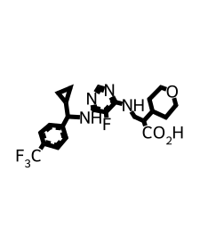 O=C(O)C(CNc1ncnc(NC(c2ccc(C(F)(F)F)cc2)C2CC2)c1F)C1CCOCC1